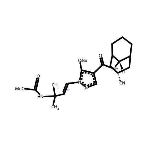 COC(=O)NC(C)(C)/C=C/n1ncc(C(=O)N[C@H]2C3CCCC2C[C@@H](C#N)C3)c1OCC(C)C